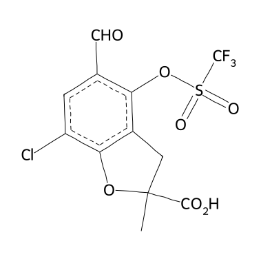 CC1(C(=O)O)Cc2c(c(Cl)cc(C=O)c2OS(=O)(=O)C(F)(F)F)O1